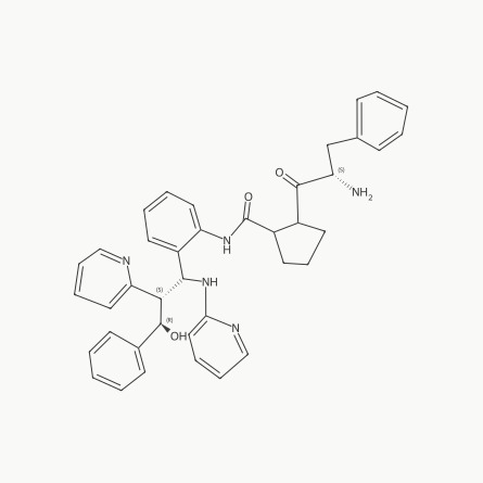 N[C@@H](Cc1ccccc1)C(=O)C1CCCC1C(=O)Nc1ccccc1C(Nc1ccccn1)[C@@H](c1ccccn1)[C@@H](O)c1ccccc1